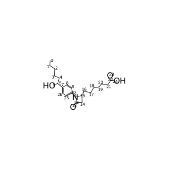 CCCCCC(O)c1ccc(N2C(=O)C[C@@H]2CCCCCCC(=O)O)cc1